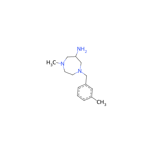 Cc1cccc(CN2CCN(C)CC(N)C2)c1